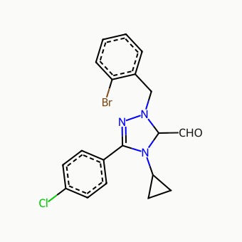 O=CC1N(Cc2ccccc2Br)N=C(c2ccc(Cl)cc2)N1C1CC1